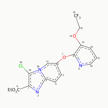 CCOC(=O)c1nc2ccc(Oc3ncccc3OCC(F)(F)F)cn2c1Cl